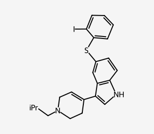 CC(C)CN1CC=C(c2c[nH]c3ccc(Sc4ccccc4I)cc23)CC1